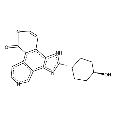 O=C1[N]C=Cc2c1c1ccncc1c1nc([C@H]3CC[C@H](O)CC3)[nH]c21